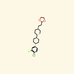 Fc1cc([C@H]2CC[C@H]([C@H]3CC[C@H](CCC4OCCO4)CC3)CC2)ccc1Cl